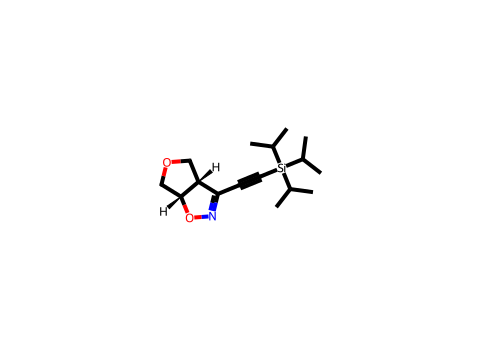 CC(C)[Si](C#CC1=NO[C@@H]2COC[C@H]12)(C(C)C)C(C)C